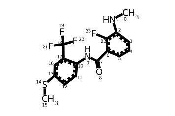 CNc1cccc(C(=O)Nc2ccc(SC)cc2C(F)(F)F)c1F